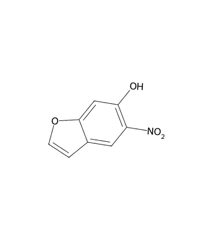 O=[N+]([O-])c1cc2ccoc2cc1O